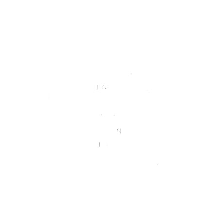 Cc1c(C(=O)NCc2cccc(F)c2)c(=O)n(C)c2cc(Br)ccc12